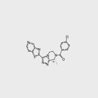 C[C@@H]1c2nnc(-c3nc4cnccc4s3)n2CCN1C(=O)c1ccc(Cl)cc1